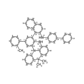 Cc1ccccc1-c1cc(-c2c(Nc3ccc(-c4ccccc4)cc3)ccc3ccccc23)c2c(c1)N1c3ccccc3C(C)(C)c3cccc(c31)B2